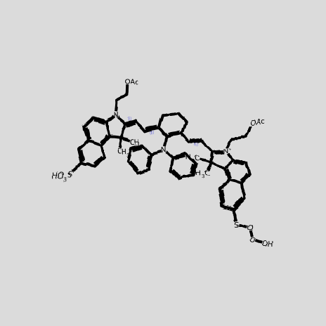 CC(=O)OCCN1/C(=C/C=C2\CCCC(/C=C/C3=[N+](CCOC(C)=O)c4ccc5cc(SOOO)ccc5c4C3(C)C)=C2N(c2ccccc2)c2ccccc2)C(C)(C)c2c1ccc1cc(S(=O)(=O)O)ccc21